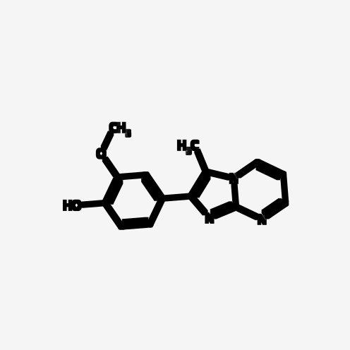 COc1cc(-c2nc3ncccn3c2C)ccc1O